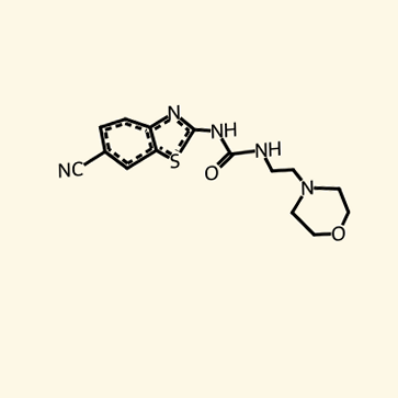 N#Cc1ccc2nc(NC(=O)NCCN3CCOCC3)sc2c1